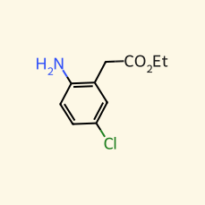 CCOC(=O)Cc1cc(Cl)ccc1N